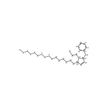 CCCCCCCCCCCCCCCCN1C=CN(Cc2ccccc2)C1CCC